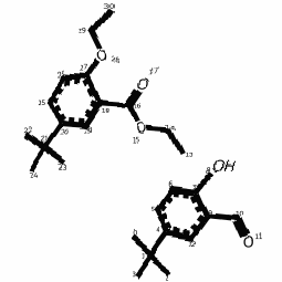 CC(C)(C)c1ccc(O)c(C=O)c1.CCOC(=O)c1cc(C(C)(C)C)ccc1OCC